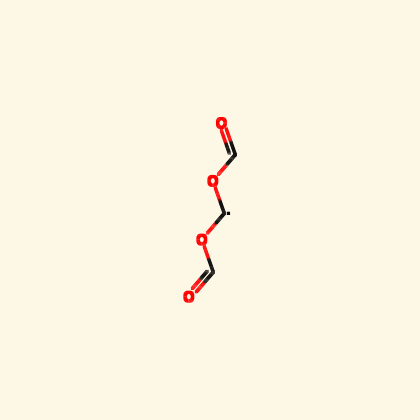 O=CO[CH]OC=O